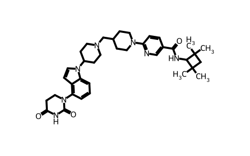 CC1(C)CC(C)(C)C1NC(=O)c1ccc(N2CCC(CN3CCC(n4ccc5c(N6CCC(=O)NC6=O)cccc54)CC3)CC2)nc1